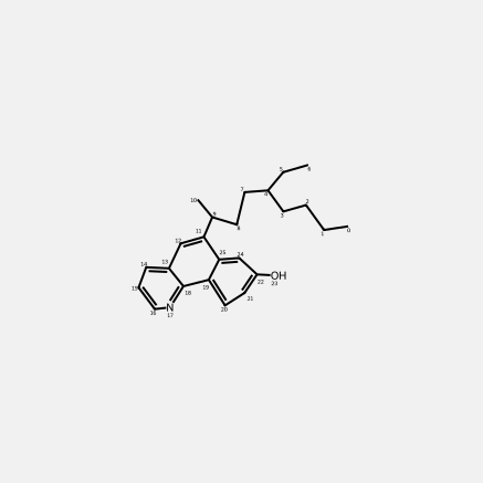 CCCCC(CC)CCC(C)c1cc2cccnc2c2ccc(O)cc12